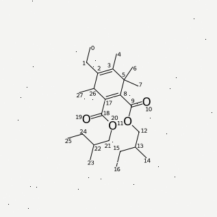 CCC1=C(C)C(C)(C)C(C(=O)OCC(C)CC)=C(C(=O)OCC(C)CC)C1C